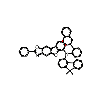 CC1(C)c2ccccc2-c2c(N(c3ccccc3-c3ccc4ccccc4c3)c3cccc4c3oc3cc5nc(-c6ccccc6)oc5cc34)cccc21